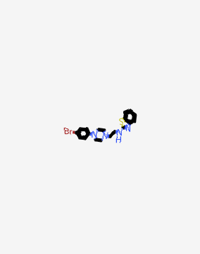 Brc1ccc(N2CCN(CCNc3nc4ccccc4s3)CC2)cc1